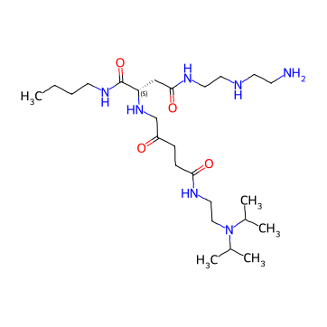 CCCCNC(=O)[C@H](CC(=O)NCCNCCN)NCC(=O)CCC(=O)NCCN(C(C)C)C(C)C